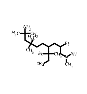 CCC(CC(CCC(C)(C)CC(C)(C)N)C(C)(CC)CC(C)(C)C)CN(C)S